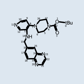 CC(C)(C)OC(=O)N1CCN(c2ccncc2NCc2ccc3nccnc3c2)CC1